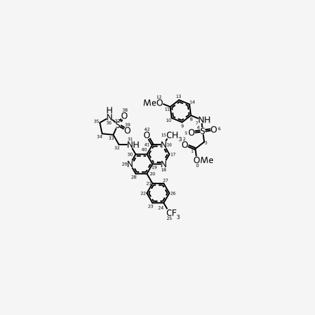 COC(=O)CS(=O)(=O)Nc1ccc(OC)cc1.Cn1cnc2c(-c3ccc(C(F)(F)F)cc3)cnc(NCC3CCNS3(=O)=O)c2c1=O